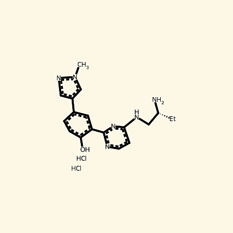 CC[C@@H](N)CNc1ccnc(-c2cc(-c3cnn(C)c3)ccc2O)n1.Cl.Cl